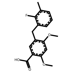 COc1cc(OC)c(C(=O)O)cc1Cc1cccc(C)c1F